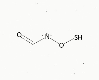 O=C[N+]OS